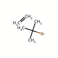 C=C.CC(C)(C)Br